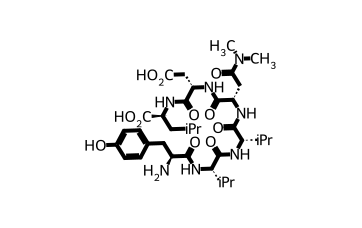 CC(C)C[C@H](NC(=O)[C@H](CC(=O)O)NC(=O)[C@H](CC(=O)N(C)C)NC(=O)[C@@H](NC(=O)[C@@H](NC(=O)[C@@H](N)Cc1ccc(O)cc1)C(C)C)C(C)C)C(=O)O